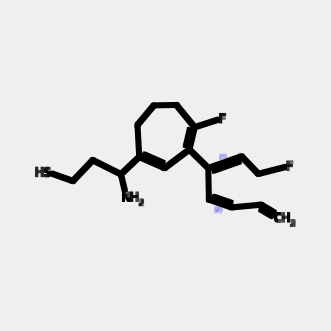 C=C/C=C\C(=C/CF)C1=C(F)CCCC(C(N)CCS)=C1